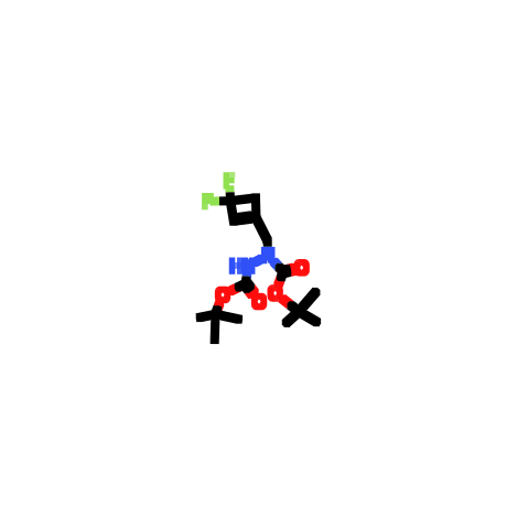 CC(C)(C)OC(=O)NN(CC1=CC(F)(F)C1)C(=O)OC(C)(C)C